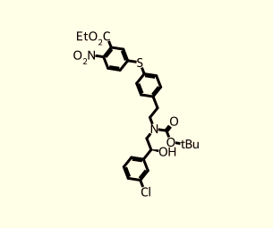 CCOC(=O)c1cc(Sc2ccc(CCN(C[C@@H](O)c3cccc(Cl)c3)C(=O)OC(C)(C)C)cc2)ccc1[N+](=O)[O-]